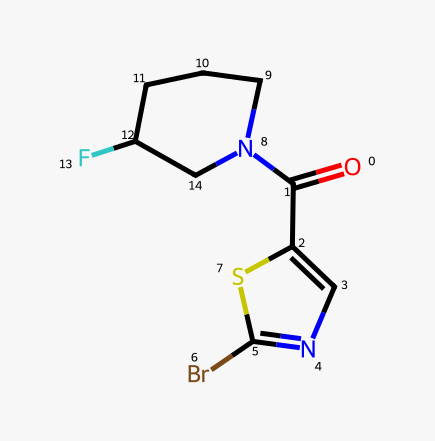 O=C(c1cnc(Br)s1)N1CCCC(F)C1